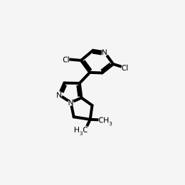 CC1(C)Cc2c(-c3cc(Cl)ncc3Cl)cnn2C1